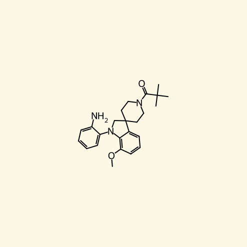 COc1cccc2c1N(c1ccccc1N)CC21CCN(C(=O)C(C)(C)C)CC1